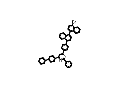 Brc1ccc(-c2ccc(-c3ccc(-c4cc(-c5ccc(-c6ccccc6)cc5)nc(-c5ccccc5)n4)cc3)c3ccccc23)c2ccccc12